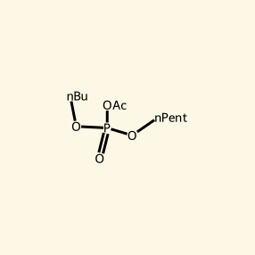 CCCCCOP(=O)(OCCCC)OC(C)=O